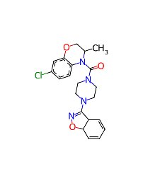 CC1COc2cc(Cl)ccc2N1C(=O)N1CCN(C2=NOC3C=CC=CC23)CC1